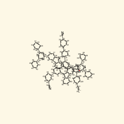 [C-]#[N+]c1ccc(-c2cccc(-c3nc(-c4ccc(-c5ccc(C#N)cc5)cc4-n4c5ccccc5c5cc(-c6nc(-c7ccccc7)nc(-c7ccccc7)n6)ccc54)nc(-c4ccc(-c5cccc(C#N)c5)cc4-n4c5ccccc5c5cc(-c6nc(-c7ccccc7)nc(-c7ccccc7)n6)ccc54)n3)c2)cc1